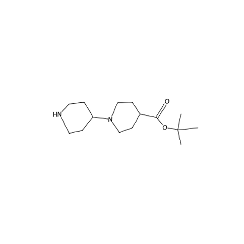 CC(C)(C)OC(=O)C1CCN(C2CCNCC2)CC1